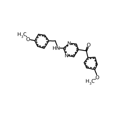 COc1ccc(CNc2ncc(C(=O)c3ccc(OC)cc3)cn2)cc1